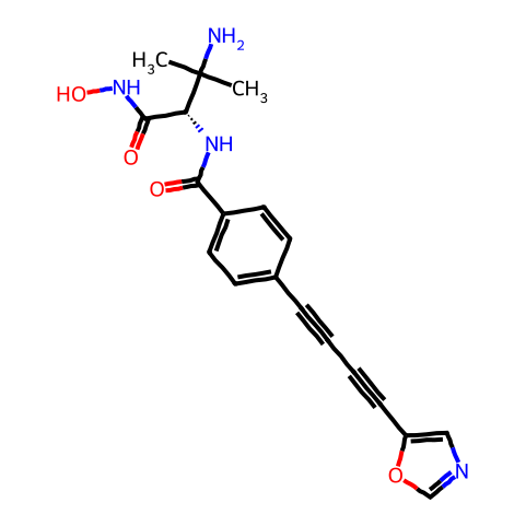 CC(C)(N)[C@H](NC(=O)c1ccc(C#CC#Cc2cnco2)cc1)C(=O)NO